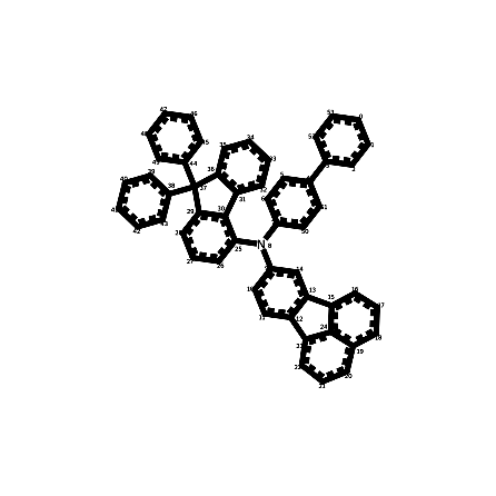 c1ccc(-c2ccc(N(c3ccc4c(c3)-c3cccc5cccc-4c35)c3cccc4c3-c3ccccc3C4(c3ccccc3)c3ccccc3)cc2)cc1